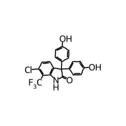 O=C1Nc2c(ccc(Cl)c2C(F)(F)F)C1(c1ccc(O)cc1)c1ccc(O)cc1